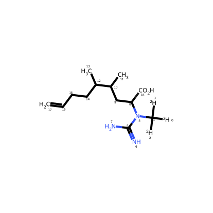 [2H]C([2H])([2H])N(C(=N)N)C(CC(C)C(C)CCC=C)C(=O)O